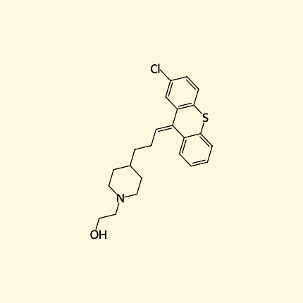 OCCN1CCC(CC/C=C2\c3ccccc3Sc3ccc(Cl)cc32)CC1